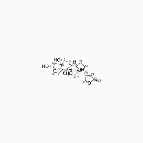 C[C@]12CC[C@H]3[C@@H](CC[C@]4(O)C[C@@H](O)CC[C@]34C=O)C1(O)CC[C@@H]2C1=CC(=O)OC1